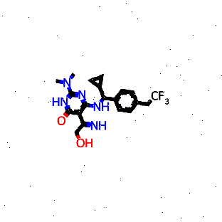 CN(C)c1nc(NC(c2ccc(CC(F)(F)F)cc2)C2CC2)c(C(=N)CO)c(=O)[nH]1